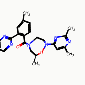 Cc1ccc(C(=O)N2CCN(c3cc(C)nc(C)n3)O[C@@H](C)C2)c(-c2ncccn2)c1